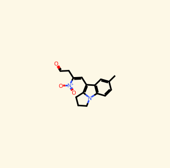 Cc1ccc2c(c1)c(C=C(CC=O)[N+](=O)[O-])c1n2CCC1